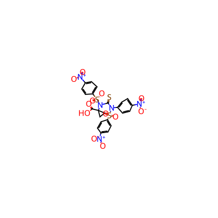 O=C(O)C1(N(C(=S)N(c2ccc([N+](=O)[O-])cc2)S(=O)(=O)c2ccc([N+](=O)[O-])cc2)S(=O)(=O)c2ccc([N+](=O)[O-])cc2)CC1